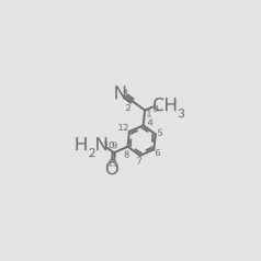 CC(C#N)c1cccc(C(N)=O)c1